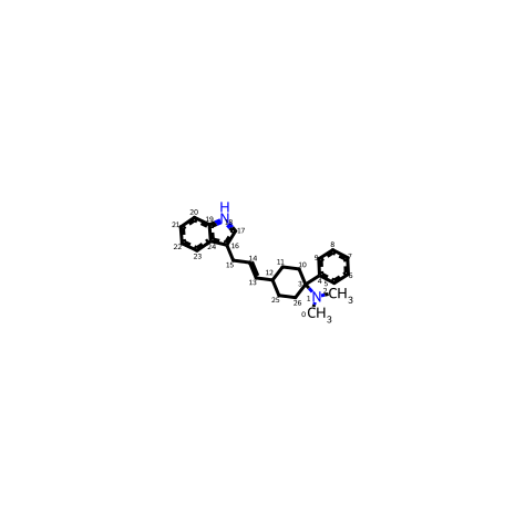 CN(C)C1(c2ccccc2)CCC(C=CCc2c[nH]c3ccccc23)CC1